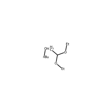 CCCCO.CCOC(C)OCC